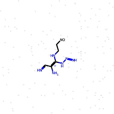 N=C/C(N)=C(\NCCN=O)NN=N